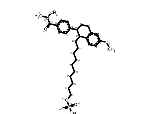 COc1ccc2c(c1)CCC(c1ccc(C(=O)N(C)C)cc1)C2CCCCCCCCCCOS(C)(=O)=O